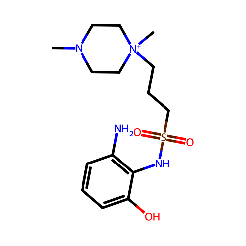 CN1CC[N+](C)(CCCS(=O)(=O)Nc2c(N)cccc2O)CC1